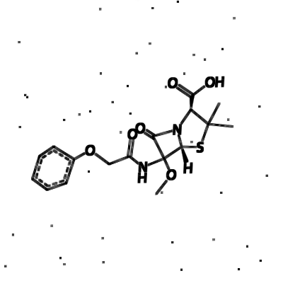 COC1(NC(=O)COc2ccccc2)C(=O)N2[C@@H](C(=O)O)C(C)(C)S[C@@H]21